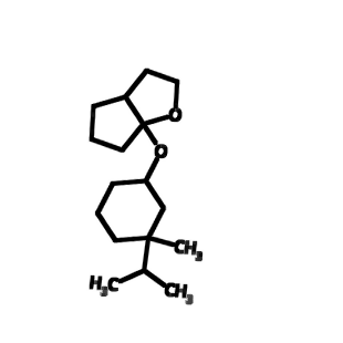 CC(C)C1(C)CCCC(OC23CCCC2CCO3)C1